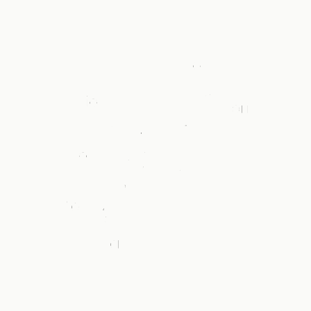 O=C(O)C12CC3CC(C(=O)O)(C1)CC(C(=O)Cl)(C3)C2